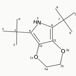 CC(C)(C)c1[nH]c(C(C)(C)C)c2c1OCCO2